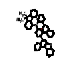 CC1(C)c2ccccc2-c2c(N(c3ccc(-c4cc5sc6ccccc6c5c5ccccc45)cc3)c3ccccc3-c3ccc4ccccc4c3)cccc21